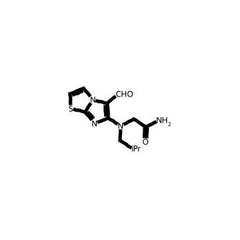 CC(C)CN(CC(N)=O)c1nc2sccn2c1C=O